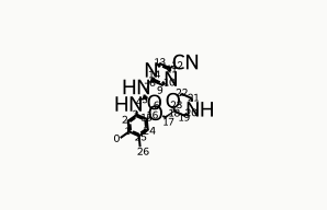 Cc1cc(NC(=O)Nc2cnc(C#N)cn2)c(OC[C@@H]2CNCCO2)cc1C